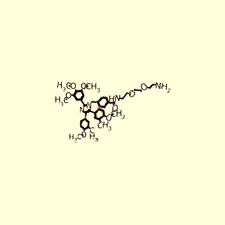 COc1ccc(-c2nc(-c3cc(OC)c(OC)c(OC)c3)n(Cc3ccc(C(=O)NCCOCCOCCN)cc3)c2-c2ccc(OC)c(C)c2)cc1C